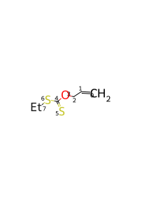 C=CCOC(=S)SCC